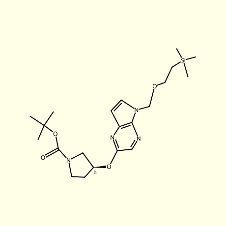 CC(C)(C)OC(=O)N1CC[C@H](Oc2cnc3c(ccn3COCC[Si](C)(C)C)n2)C1